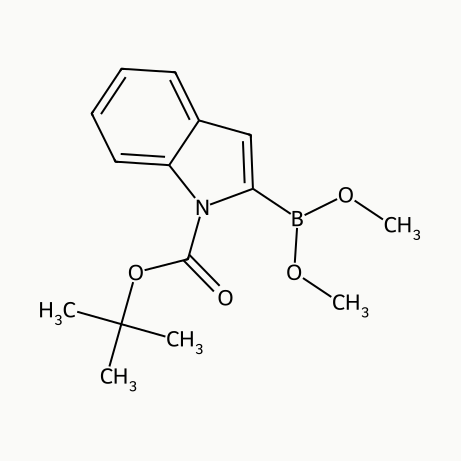 COB(OC)c1cc2ccccc2n1C(=O)OC(C)(C)C